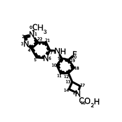 Cn1cnc2cnc(Nc3ccc(C4CN(C(=O)O)C4)cc3F)cc21